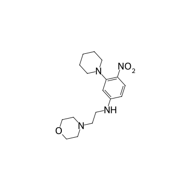 O=[N+]([O-])c1ccc(NCCN2CCOCC2)cc1N1CCCCC1